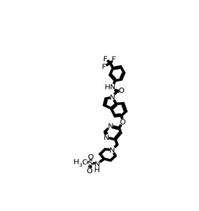 CS(=O)(=O)NC1CCN(Cc2cc(Oc3ccc4c(ccn4C(=O)Nc4cccc(C(F)(F)F)c4)c3)ncn2)CC1